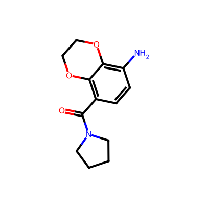 Nc1ccc(C(=O)N2CCCC2)c2c1OCCO2